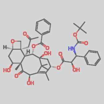 CC(=O)C[C@@]12CO[C@@H]1C[C@H](O)[C@@]1(C)C(=O)[C@H](O)C3=C(C)[C@@H](OC(=O)[C@H](O)[C@@H](NC(=O)OC(C)(C)C)c4ccccc4)C[C@@](O)([C@@H](OC(=O)c4ccccc4)[C@H]21)C3(C)C